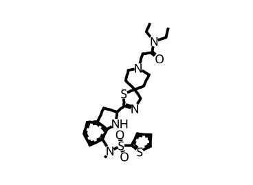 CCN(CC)C(=O)CN1CCC2(CC1)CN=C(C1Cc3cccc(N(C)S(=O)(=O)c4cccs4)c3N1)S2